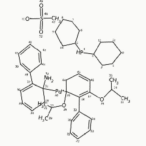 C1CCC(PC2CCCCC2)CC1.CC(C)OC1=C(c2ccccc2)[C](OC(C)C)([Pd+][C]2(N)CC=CC=C2c2ccccc2)CC=C1.CS(=O)(=O)[O-]